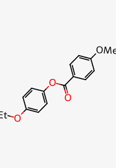 CCOc1ccc(OC(=O)c2ccc(OC)cc2)cc1